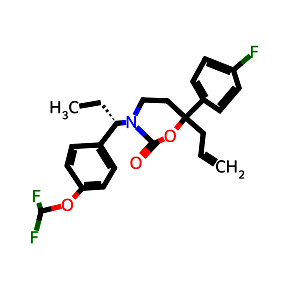 C=CCC1(c2ccc(F)cc2)CCN([C@@H](CC)c2ccc(OC(F)F)cc2)C(=O)O1